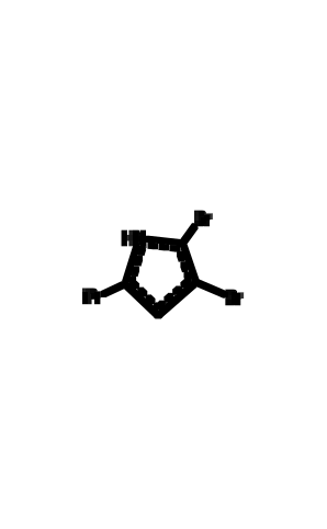 CC(C)c1cc(Br)c(Br)[nH]1